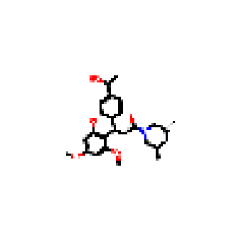 COc1cc(O)c(C(CC(=O)N2CC(C)C[C@@H](C)C2)C2C=CC(C(C)O)=CC2)c(OC)c1